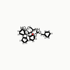 N#CC(C(=O)C(CC(=O)O)NC(=O)OCc1ccccc1)=P(c1ccccc1)(c1ccccc1)c1ccccc1